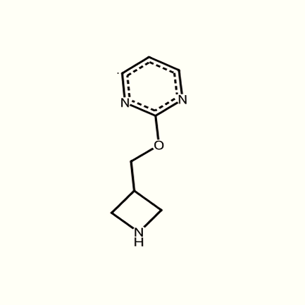 [c]1ccnc(OCC2CNC2)n1